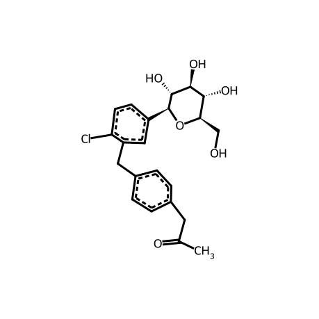 CC(=O)Cc1ccc(Cc2cc([C@@H]3O[C@H](CO)[C@@H](O)[C@H](O)[C@H]3O)ccc2Cl)cc1